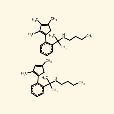 CCCCNC(C)(C)c1ccccc1C1=C(C)C(C)=C(C)C1.CCCCNC(C)(C)c1ccccc1C1=C(C)C=C(C)C1